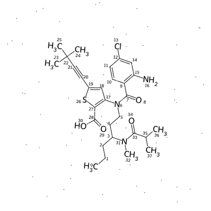 CCCC(CCN(C(=O)c1ccc(Cl)cc1N)c1cc(C#CC(C)(C)C)sc1C(=O)O)N(C)C(=O)C(C)C